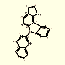 c1ccc2nc(-n3c4ccccc4c4c5sccc5ccc43)ncc2c1